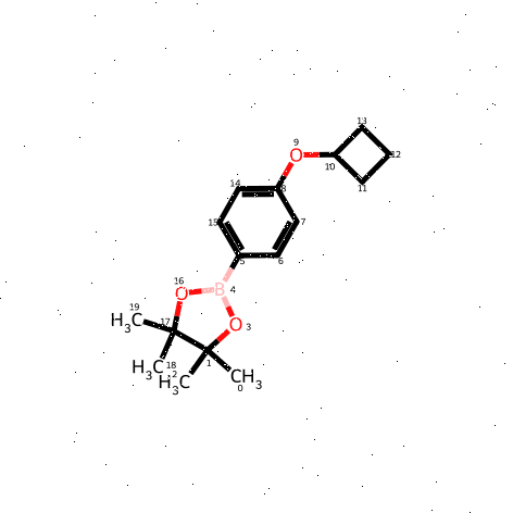 CC1(C)OB(c2ccc(OC3CCC3)cc2)OC1(C)C